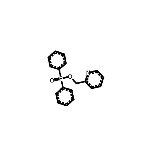 O=P(OCc1ccccn1)(c1ccccc1)c1ccccc1